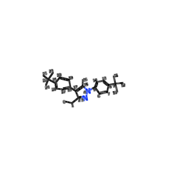 CCc1nn(-c2ccc(C(C)(C)C)cc2)c(C)c1-c1ccc(C(C)(C)C)cc1